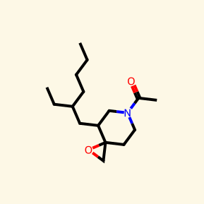 CCCCC(CC)CC1CN(C(C)=O)CCC12CO2